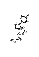 Cc1ncc(-c2cccc3c2OCC[C@H]3CN(C)C(=O)O)cn1